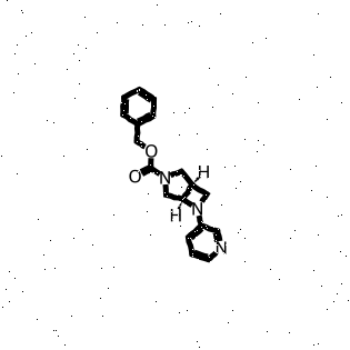 O=C(OCc1ccccc1)N1C[C@H]2CN(c3cccnc3)[C@H]2C1